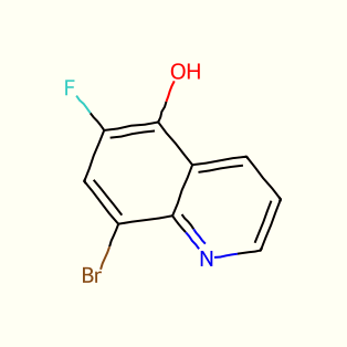 Oc1c(F)cc(Br)c2ncccc12